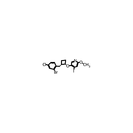 COc1cc(I)c(O[C@@H]2CC[C@@H]2Cc2ccc(Cl)cc2Br)cn1